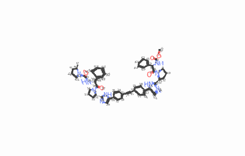 COC(=O)N[C@@H](C(=O)N1CCC[C@H]1c1ncc(-c2ccc(C#Cc3ccc(-c4cnc([C@@H]5CCCN5C(=O)[C@H](NC(=O)N5CCC[C@H]5C)c5ccccc5)[nH]4)cc3)cc2)[nH]1)c1ccccc1